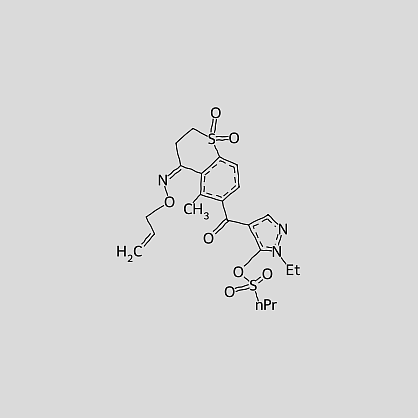 C=CCO/N=C1/CCS(=O)(=O)c2ccc(C(=O)c3cnn(CC)c3OS(=O)(=O)CCC)c(C)c21